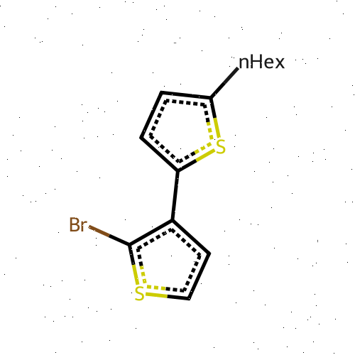 CCCCCCc1ccc(-c2ccsc2Br)s1